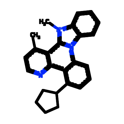 Cc1ccnc2c3c(C4CCCC4)cccc3n3c4ccccc4[n+](C)c3c12